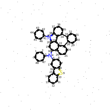 c1ccc(N(c2ccc3sc4ccccc4c3c2)c2cc3c4c5c(cccc25)-c2ccccc2-c2cccc(c24)n3-c2ccccc2)cc1